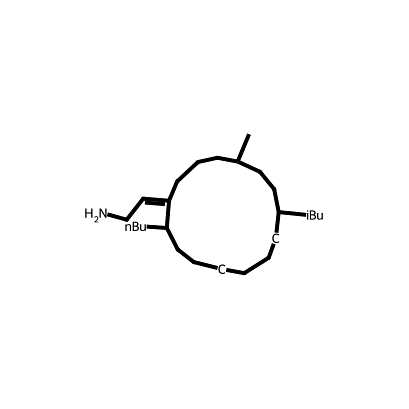 CCCCC1CCCCCCC(C(C)CC)CCC(C)CCC/C1=C/CN